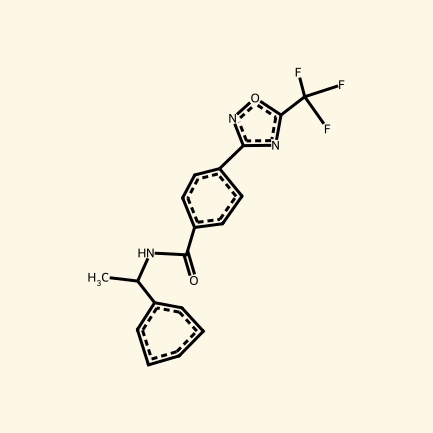 CC(NC(=O)c1ccc(-c2noc(C(F)(F)F)n2)cc1)c1ccccc1